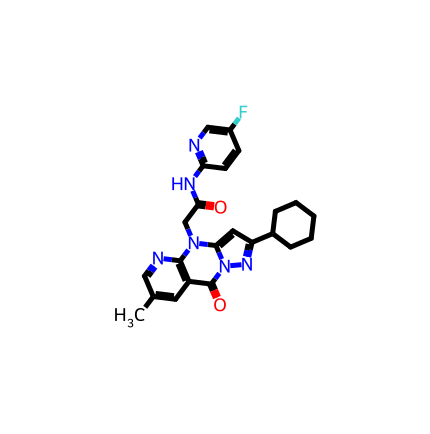 Cc1cnc2c(c1)c(=O)n1nc(C3CCCCC3)cc1n2CC(=O)Nc1ccc(F)cn1